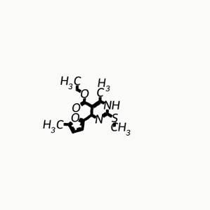 CCOC(=O)C1=C(C)NC(SC)=NC1c1ccc(C)o1